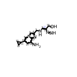 N=N/C(=C\NCc1cn2cc(C3CC3)cc(N)c2n1)CO